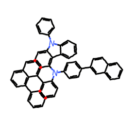 c1ccc(-c2cccc3cccc(-c4ccccc4N(c4ccc(-c5ccc6ccccc6c5)cc4)c4cccc5c4c4ccccc4n5-c4ccccc4)c23)cc1